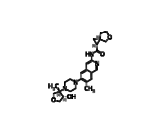 Cc1cc2cnc(NC(=O)[C@H]3C[C@]34CCOC4)cc2cc1N1CCN([C@@]2(C)COC[C@H]2O)CC1